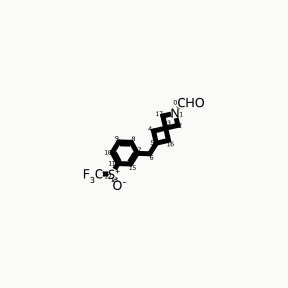 O=CN1CC2(CC(Cc3cccc([S+]([O-])C(F)(F)F)c3)C2)C1